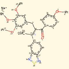 CC(C)Oc1ccc(C(=O)/C(Cc2cc(OC(C)C)c(OC(C)C)c(OC(C)C)c2)=C(/C(=O)[O-])c2ccc3nsnc3c2)cc1.[Na+]